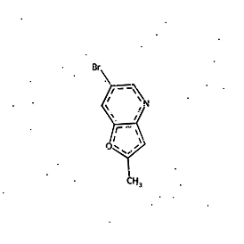 Cc1cc2ncc(Br)cc2o1